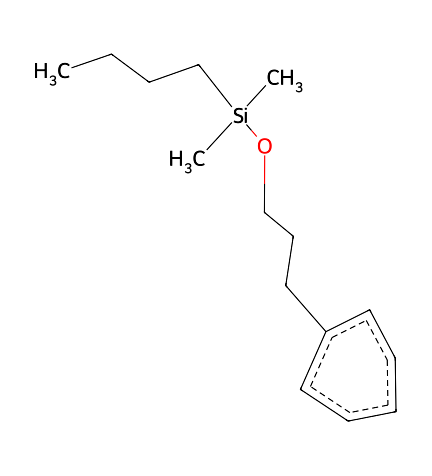 CCCC[Si](C)(C)OCCCc1ccccc1